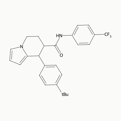 CC(C)(C)c1ccc(C2c3cccn3CCC2C(=O)Nc2ccc(C(F)(F)F)cc2)cc1